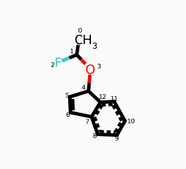 CC(F)OC1C=Cc2cc[c]cc21